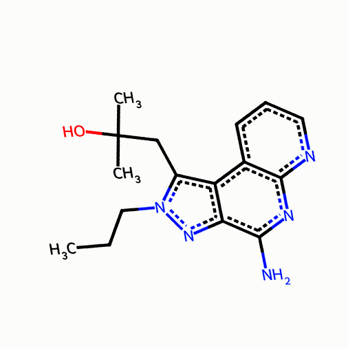 CCCn1nc2c(N)nc3ncccc3c2c1CC(C)(C)O